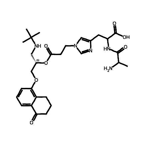 CC(N)C(=O)NC(Cc1cn(CCC(=O)O[C@@H](CNC(C)(C)C)COc2cccc3c2CCCC3=O)cn1)C(=O)O